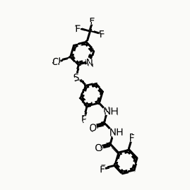 O=C(NC(=O)c1c(F)cccc1F)Nc1ccc(Sc2ncc(C(F)(F)F)cc2Cl)cc1F